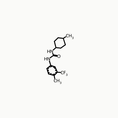 Cc1ccc(NC(=O)NC2CCC(C)CC2)cc1C(F)(F)F